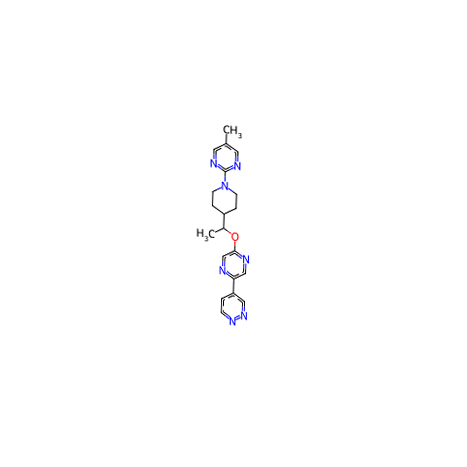 Cc1cnc(N2CCC(C(C)Oc3cnc(-c4ccnnc4)cn3)CC2)nc1